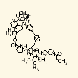 C=CC(=O)N1CCC2(C1)CN(C(=O)N(C)C(C(=O)N[C@H]1Cc3nc(cs3)-c3ccc4c(c3)c(c(-c3cccnc3[C@H](C)OC)n4CC(F)(F)F)CC(C)(C)COC(=O)[C@@H]3CCCN(N3)C1=O)C(C)C)C2